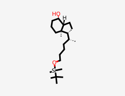 C[C@H](CCCCO[Si](C)(C)C(C)(C)C)[C@H]1CC[C@H]2[C@@H](O)CCC[C@]12C